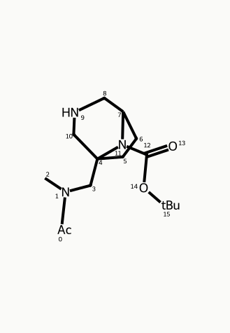 CC(=O)N(C)CC12CCC(CNC1)N2C(=O)OC(C)(C)C